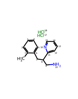 Cc1ccccc1CC(CN)c1ccccn1.Cl.Cl